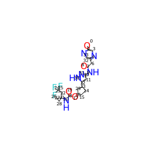 COc1cnc(CC(=O)Nc2cc([C@H]3CC[C@@H](OC(=O)NC4(CC(F)(F)F)CC4)C3)[nH]n2)cn1